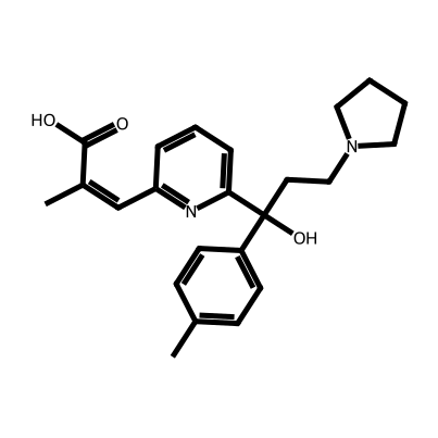 CC(=Cc1cccc(C(O)(CCN2CCCC2)c2ccc(C)cc2)n1)C(=O)O